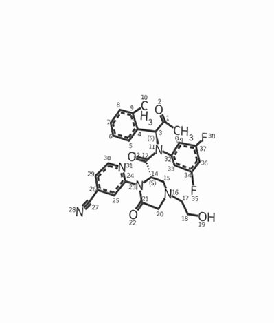 CC(=O)[C@H](c1ccccc1C)N(C(=O)[C@@H]1CN(CCO)CC(=O)N1c1cc(C#N)ccn1)c1cc(F)cc(F)c1